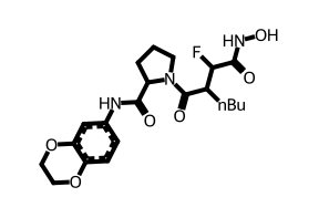 CCCCC(C(=O)N1CCCC1C(=O)Nc1ccc2c(c1)OCCO2)C(F)C(=O)NO